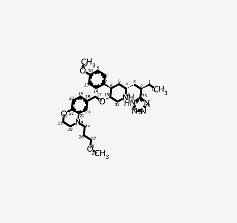 CC[C@H](C[C@H]1C[C@H](c2ccc(OC)cc2)[C@@H](OCc2ccc3c(c2)N(CCCOC)CCO3)CN1)c1nnn[nH]1